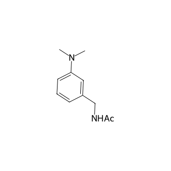 CC(=O)NCc1cccc(N(C)C)c1